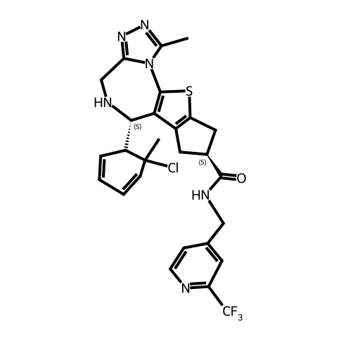 Cc1nnc2n1-c1sc3c(c1[C@H](C1C=CC=CC1(C)Cl)NC2)C[C@H](C(=O)NCc1ccnc(C(F)(F)F)c1)C3